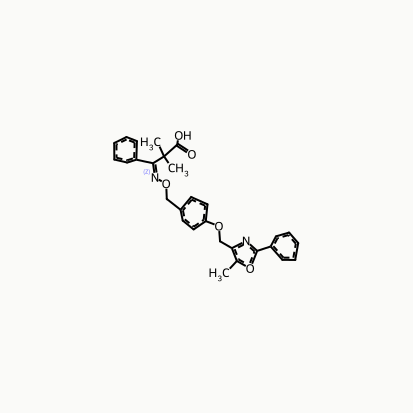 Cc1oc(-c2ccccc2)nc1COc1ccc(CO/N=C(/c2ccccc2)C(C)(C)C(=O)O)cc1